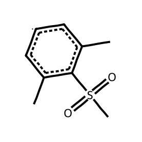 Cc1c[c]cc(C)c1S(C)(=O)=O